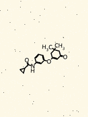 CC1(C)CC(=O)C=C(Oc2cccc(NC(=O)C3CC3)c2)C1